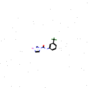 O=C(Nc1cccc(C(F)(F)F)c1)n1cc[n+]([O-])c1